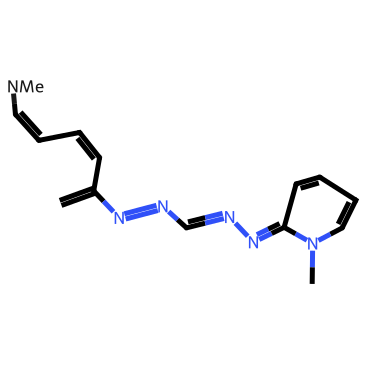 C=C(/C=C\C=C/NC)/N=N/C=N/N=c1\ccccn1C